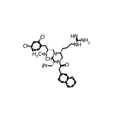 CC(C)C[C@@H]1CN(C[C@@H](Cc2ccc(Cl)cc2Cl)N(C)C)[C@@H](CCCNC(=N)N)CN1C(=O)Cc1ccc2ccccc2c1